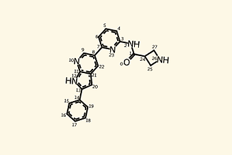 O=C(Nc1cccc(-c2cnc3[nH]c(-c4ccccc4)cc3c2)n1)C1CNC1